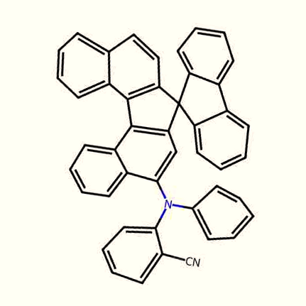 N#Cc1ccccc1N(c1ccccc1)c1cc2c(c3ccccc13)-c1c(ccc3ccccc13)C21c2ccccc2-c2ccccc21